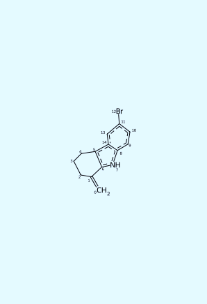 C=C1CCCc2c1[nH]c1ccc(Br)cc21